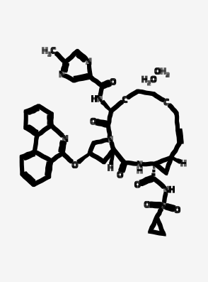 Cc1cnc(C(=O)N[C@H]2CCCCC/C=C\[C@@H]3C[C@@]3(C(=O)NS(=O)(=O)C3CC3)NC(=O)[C@@H]3C[C@@H](Oc4nc5ccccc5c5ccccc45)CN3C2=O)cn1.O.O